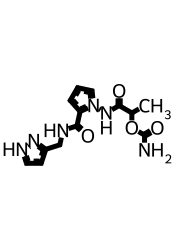 CC(OC(N)=O)C(=O)Nn1cccc1C(=O)NCc1cc[nH]n1